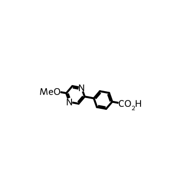 COc1cnc(-c2ccc(C(=O)O)cc2)cn1